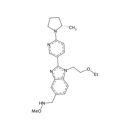 CCOCCn1c(-c2ccc(N3CCC[C@@H]3C)nc2)nc2cc(CNOC)ccc21